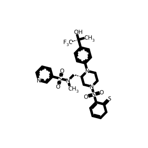 CN(C[C@H]1CN(S(=O)(=O)C2=CC=CCC2=S)CCN1c1ccc([C@](C)(O)C(F)(F)F)cc1)S(=O)(=O)c1cccnc1